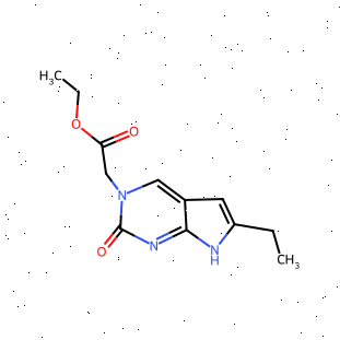 CCOC(=O)Cn1cc2cc(CC)[nH]c2nc1=O